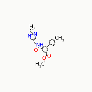 CCOC(=O)c1cc(C(=O)NCc2cnc(C)nc2)cc(-c2ccc(C)cc2)c1